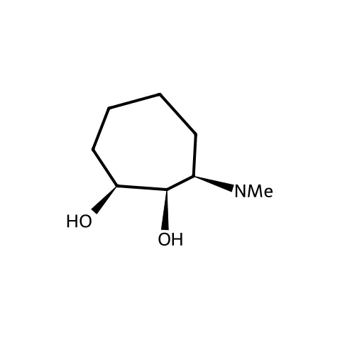 CN[C@@H]1CCCC[C@H](O)[C@@H]1O